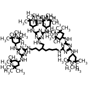 CN1C(C)(C)CC(Nc2nc(NCCCCC(CCCNc3nc(NC4CC(C)(C)N(C)C(C)(C)C4)nc(NC4CC(C)(C)N(C)C(C)(C)C4)n3)CNc3nc(NC4CC(C)(C)N(C)C(C)(C)C4)nc(NC4CC(C)(C)N(C)C(C)(C)C4)n3)nc(NC3CC(C)(C)N(C)C(C)(C)C3)n2)CC1(C)C